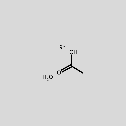 CC(=O)O.O.[Rh]